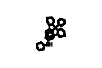 c1ccc(Nc2cccc(-c3ccccc3C3(c4ccccc4)c4ccccc4-c4ccccc43)c2)cc1